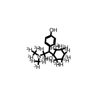 [2H]C([2H])([2H])N(C([2H])([2H])[2H])C([2H])([2H])C(c1ccc(O)cc1)C1(O)C([2H])([2H])C([2H])([2H])C([2H])([2H])C([2H])([2H])C1([2H])[2H]